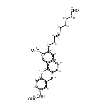 COc1cc2c(Oc3ccc(NC=O)cc3F)ccnc2cc1OC/C=C/CCCSC=O